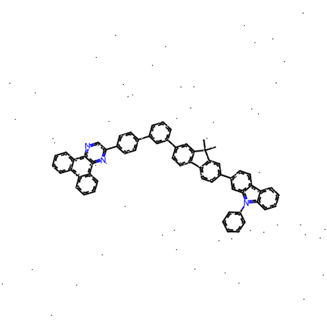 CC1(C)c2cc(-c3cccc(-c4ccc(-c5cnc6c7ccccc7c7ccccc7c6n5)cc4)c3)ccc2-c2ccc(-c3ccc4c5ccccc5n(-c5ccccc5)c4c3)cc21